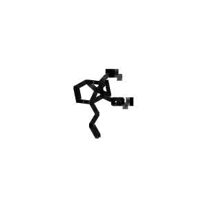 C=CCC12C=CC(C(N)C1C(=O)O)C21CC1